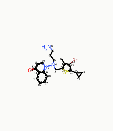 Cc1c(CN(CCCN)n2ccc(=O)c3ccccc32)sc(C2CC2)c1Br